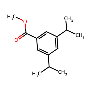 COC(=O)c1cc(C(C)C)cc(C(C)C)c1